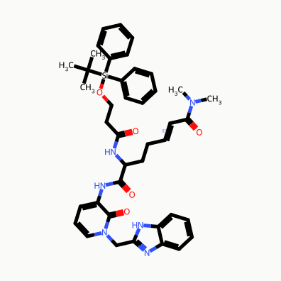 CN(C)C(=O)/C=C/CCC(NC(=O)CCO[Si](c1ccccc1)(c1ccccc1)C(C)(C)C)C(=O)Nc1cccn(Cc2nc3ccccc3[nH]2)c1=O